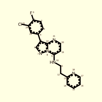 Fc1ccc(-c2cnn3c(NCCc4ccccn4)ccnc23)cc1Cl